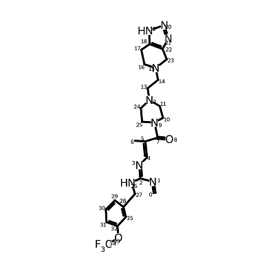 C=N/C(=N\C=C(/C)C(=O)N1CCN(CCN2CCc3[nH]nnc3C2)CC1)NCc1cccc(OC(F)(F)F)c1